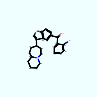 O=C(c1ccc2scc(C3CCC4CCCCN4CC3)c2c1)c1ccccc1I